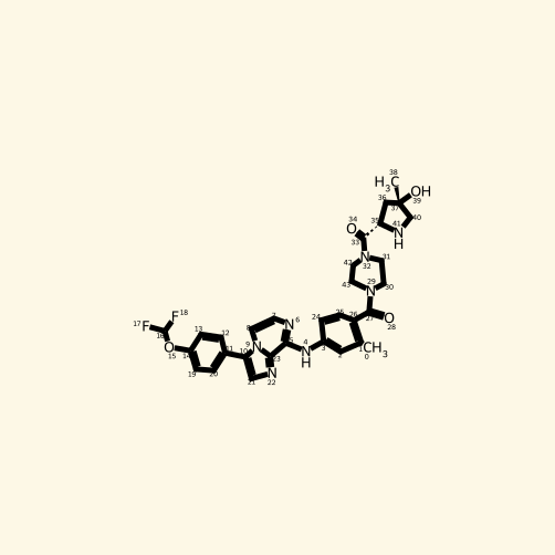 Cc1cc(Nc2nccn3c(-c4ccc(OC(F)F)cc4)cnc23)ccc1C(=O)N1CCN(C(=O)[C@@H]2C[C@](C)(O)CN2)CC1